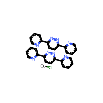 [Cl][Cu].c1ccc(-c2ccc(-c3ccccn3)nn2)nc1.c1ccc(-c2ccc(-c3ccccn3)nn2)nc1